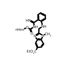 CCCCCCOC(=O)NC(=N)c1ccccc1NCc1nc2cc(C(=O)OCC)ccc2n1C